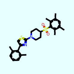 Cc1cc(C)c(C)c(S(=O)(=O)C2CCN(c3nc(-c4c(C)cccc4C)cs3)CC2)c1C